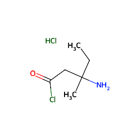 CCC(C)(N)CC(=O)Cl.Cl